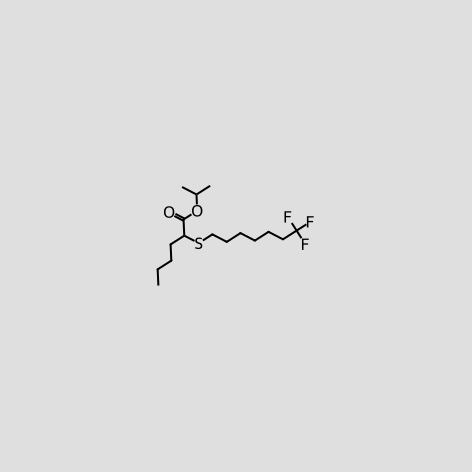 CCCCC(SCCCCCCC(F)(F)F)C(=O)OC(C)C